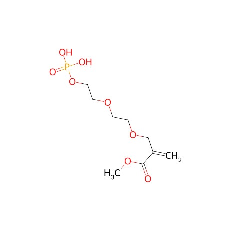 C=C(COCCOCCOP(=O)(O)O)C(=O)OC